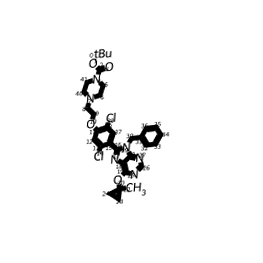 CC(C)(C)OC(=O)N1CCN(CCOc2cc(Cl)c(-c3nc4c(OC5(C)CC5)ncnc4n3Cc3ccccc3)cc2Cl)CC1